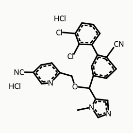 Cl.Cl.Cn1cncc1C(OCc1ccc(C#N)cn1)c1ccc(C#N)c(-c2cccc(Cl)c2Cl)c1